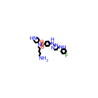 NCCCCCN(C1CCNCC1)S(=O)(=O)c1ccc(Nc2nccc(Nc3ccc(F)cc3)n2)cc1